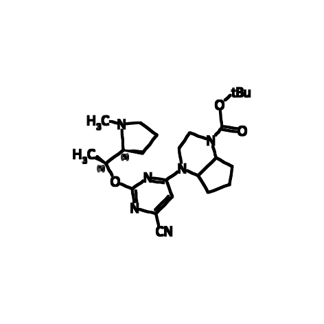 C[C@H](Oc1nc(C#N)cc(N2CCN(C(=O)OC(C)(C)C)C3CCCC32)n1)[C@@H]1CCCN1C